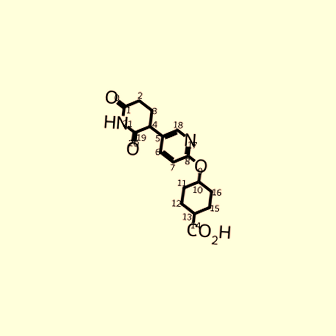 O=C1CCC(c2ccc(OC3CCC(C(=O)O)CC3)nc2)C(=O)N1